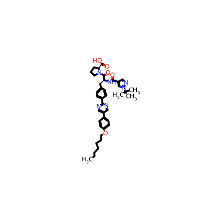 CCCCCCCOc1ccc(-c2cnc(-c3ccc(C[C@H](NC(=O)c4cnn(C(C)(C)C)c4)C(=O)N4CCC[C@H]4C(=O)O)cc3)nc2)cc1